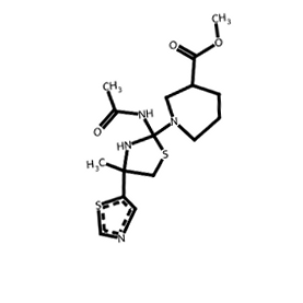 COC(=O)C1CCCN(C2(NC(C)=O)NC(C)(c3cncs3)CS2)C1